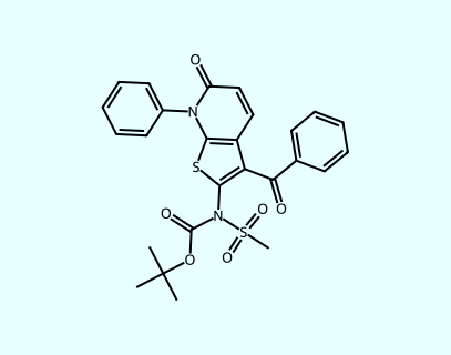 CC(C)(C)OC(=O)N(c1sc2c(ccc(=O)n2-c2ccccc2)c1C(=O)c1ccccc1)S(C)(=O)=O